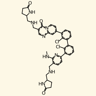 CNc1nc(-c2cccc(-c3cccc(-c4ccn5c(=O)c(CNCC6CCC(=O)N6)cnc5c4)c3Cl)c2Cl)ccc1CNCC1CCC(=O)N1